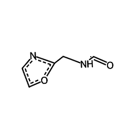 O=[C]NCc1ncco1